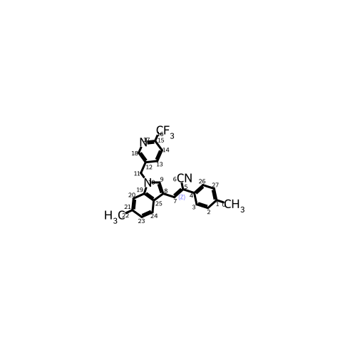 Cc1ccc(/C(C#N)=C/c2cn(Cc3ccc(C(F)(F)F)nc3)c3cc(C)ccc23)cc1